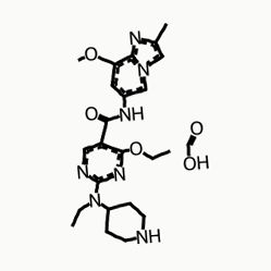 CCOc1nc(N(CC)C2CCNCC2)ncc1C(=O)Nc1cc(OC)c2nc(C)cn2c1.O=CO